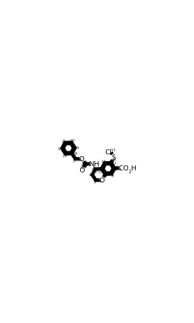 O=C(N[C@H]1CCOc2cc(C(=O)O)c(SCl)cc21)OCc1ccccc1